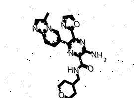 Cc1cnc2ccc(-c3nc(C(=O)NCC4CCOCC4)c(N)nc3-c3ncco3)cn12